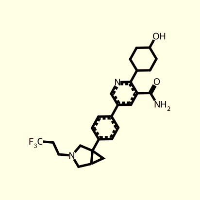 NC(=O)c1cc(-c2ccc(C34CC3CN(CCC(F)(F)F)C4)cc2)cnc1C1CCC(O)CC1